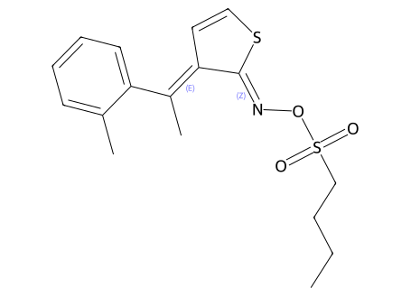 CCCCS(=O)(=O)O/N=C1\SC=C\C1=C(\C)c1ccccc1C